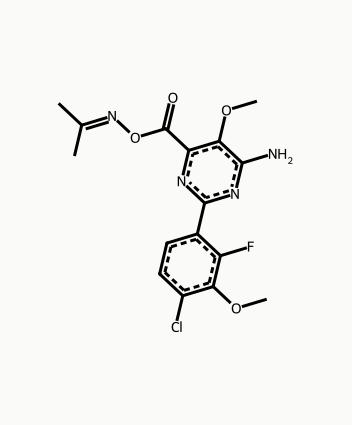 COc1c(N)nc(-c2ccc(Cl)c(OC)c2F)nc1C(=O)ON=C(C)C